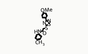 COc1ccc(-c2nsc(SCC(=O)Nc3ccc(C)cc3)n2)cc1